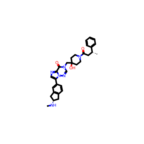 CN[C@H]1Cc2ccc(-c3cnc4c(=O)n(CC5(O)CCN(C(=O)C[C@@H](C)c6ccccc6)CC5)cnn34)cc2C1